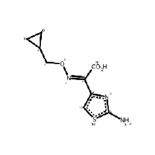 Nc1nc(C(=NOCC2CC2)C(=O)O)cs1